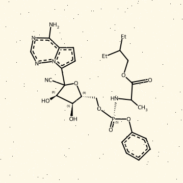 CCC(CC)COC(=O)C(C)N[P@](=O)(OC[C@H]1OC(C#N)(c2ccc3c(N)ncnn23)[C@H](O)[C@@H]1O)Oc1ccccc1